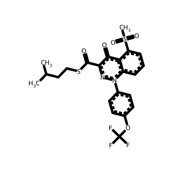 CC(C)CCSC(=O)c1nn(-c2ccc(OC(F)(F)F)cc2)c2cccc(S(C)(=O)=O)c2c1=O